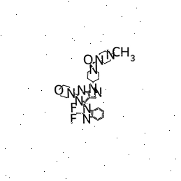 CN1CCN(C(=O)N2CCC(n3ncc4c(-n5c(C(F)F)nc6ccccc65)nc(N5CCOCC5)nc43)CC2)CC1